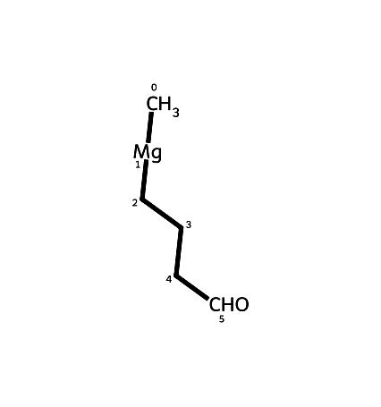 [CH3][Mg][CH2]CCC=O